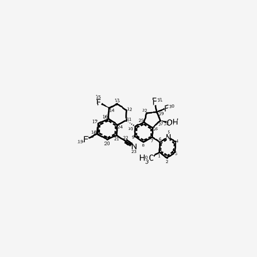 Cc1cccnc1-c1ccc([C@H]2CC[C@H](F)c3cc(F)cc(C#N)c32)c2c1[C@H](O)C(F)(F)C2